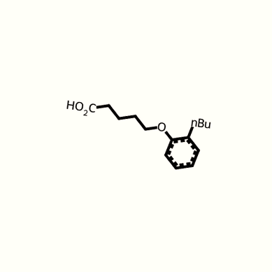 [CH2]CCCc1ccccc1OCCCCC(=O)O